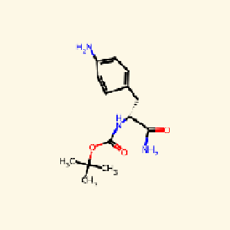 CC(C)(C)OC(=O)N[C@H](Cc1ccc(N)cc1)C(N)=O